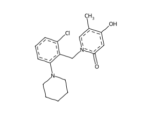 Cc1cn(Cc2c(Cl)cccc2N2CCCCC2)c(=O)cc1O